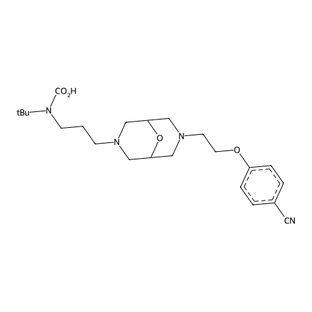 CC(C)(C)N(CCCN1CC2CN(CCOc3ccc(C#N)cc3)CC(C1)O2)C(=O)O